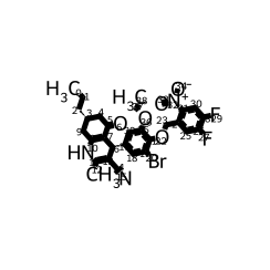 CCC[C@@H]1CC(=O)C2=C(C1)NC(C)=C(C#N)[C@H]2c1cc(Br)c(OCc2cc(F)c(F)cc2[N+](=O)[O-])c(OCC)c1